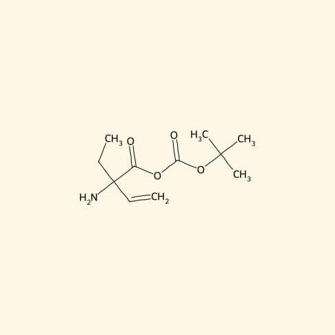 C=CC(N)(CC)C(=O)OC(=O)OC(C)(C)C